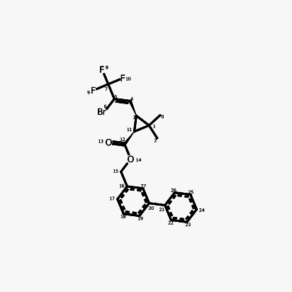 CC1(C)[C@H](C=C(Br)C(F)(F)F)[C@@H]1C(=O)OCc1cccc(-c2ccccc2)c1